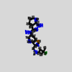 CN(Cc1nsc2cc(Nc3n[nH]c4ncccc34)cnc12)C1CC(C)(F)C1